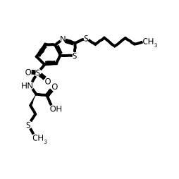 CCCCCCSc1nc2ccc(S(=O)(=O)N[C@H](CCSC)C(=O)O)cc2s1